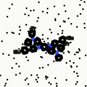 CC(C)c1ccc(N(c2ccccc2)c2ccc3c4cc5c(cc4n4c6ccc(-c7ccc(C(C)(C)C)cc7)cc6c2c34)c2ccc(N(c3ccccc3)c3ccc(C(C)C)cc3)c3c4cc(-c6ccc(C(C)(C)C)cc6)ccc4n5c23)cc1